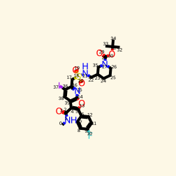 CNC(=O)c1c(-c2ccc(F)cc2)oc2nc(CS(=O)(=O)NCC3CCCN(C(=O)OC(C)(C)C)C3)c(I)cc12